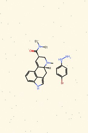 CCN(CC)C(=O)[C@@H]1C=C2c3cccc4[nH]cc(c34)C[C@H]2N(C)C1.NNc1ccc(Br)cc1